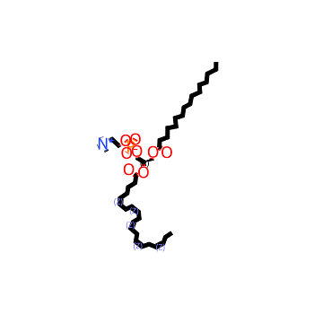 CC/C=C\C/C=C\C/C=C\C/C=C\C/C=C\CCCC(=O)O[C@H](COC(=O)CCCCCCCCCCCCCCC)COP(=O)([O-])OCC[N+](C)(C)C